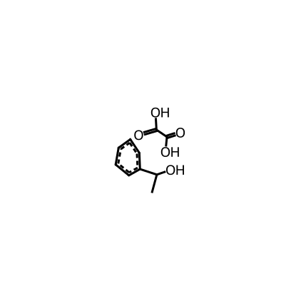 CC(O)c1ccccc1.O=C(O)C(=O)O